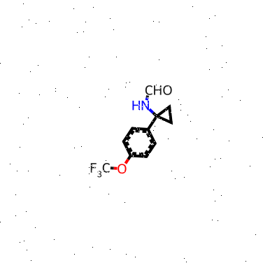 O=CNC1(c2ccc(OC(F)(F)F)cc2)CC1